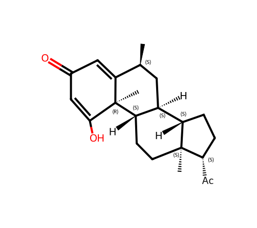 CC(=O)[C@H]1CC[C@H]2[C@@H]3C[C@H](C)C4=CC(=O)C=C(O)[C@]4(C)[C@H]3CC[C@]12C